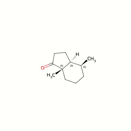 C[C@H]1CCC[C@]2(C)C(=O)CC[C@@H]12